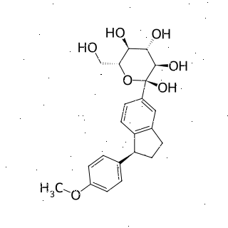 COc1ccc([C@@H]2CCc3cc([C@]4(O)O[C@H](CO)[C@@H](O)[C@H](O)[C@H]4O)ccc32)cc1